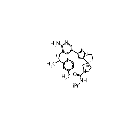 Cc1ccnc(C(C)Oc2cc(-c3cc4n(n3)CC[C@@]43CCN(C(=O)NC(C)C)C3)cnc2N)c1